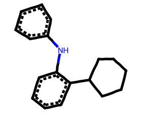 c1ccc(Nc2ccccc2C2CCCCC2)cc1